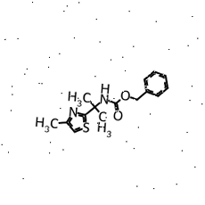 Cc1csc(C(C)(C)NC(=O)OCc2ccccc2)n1